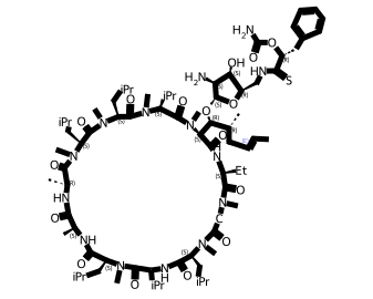 C/C=C/C[C@@H](C)[C@@H](O[C@H]1O[C@H](CNC(=S)[C@@H](Cc2ccccc2)OC(N)=O)[C@@H](O)[C@@H]1N)[C@H]1C(=O)N[C@@H](CC)C(=O)N(C)CC(=O)N(C)[C@@H](CC(C)C)C(=O)NC(C(C)C)C(=O)N(C)[C@@H](CC(C)C)C(=O)N[C@@H](C)C(=O)N[C@H](C)C(=O)N(C)[C@@H](CC(C)C)C(=O)N(C)[C@@H](CC(C)C)C(=O)N(C)[C@@H](C(C)C)C(=O)N1C